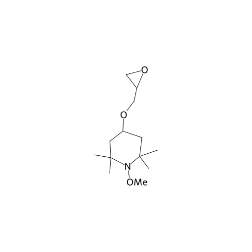 CON1C(C)(C)CC(OCC2CO2)CC1(C)C